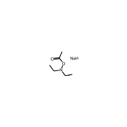 CCN(CC)OC(C)=O.[NaH]